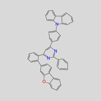 c1ccc(-c2nc(-c3ccc(-n4c5ccccc5c5ccccc54)cc3)cc(-c3ccccc3-c3ccc4c(c3)oc3ccccc34)n2)cc1